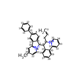 C=CCC1C(C2c3ccc(-c4ccccc4)cc3-c3cc(C)cc[n+]32)c2ccccc2-c2cccc[n+]21